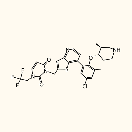 Cc1cc(Cl)cc(-c2ccnc3cc(Cn4c(=O)ccn(CC(F)(F)F)c4=O)sc23)c1O[C@H]1CCNC[C@@H]1C